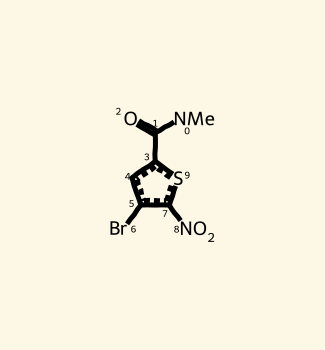 CNC(=O)c1cc(Br)c([N+](=O)[O-])s1